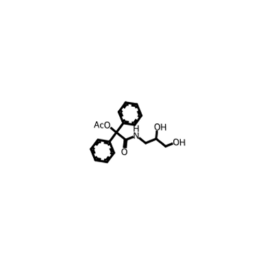 CC(=O)OC(C(=O)NCC(O)CO)(c1ccccc1)c1ccccc1